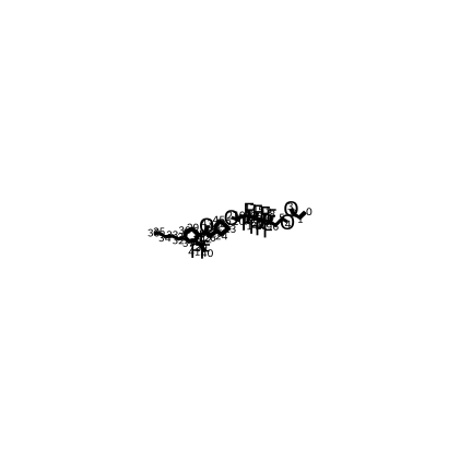 C=CC(=O)OCCC(F)(F)C(F)(F)C(F)(F)C(F)(F)CCOc1ccc2cc(-c3ccc(CCCCC)cc3C(F)(F)F)oc2c1